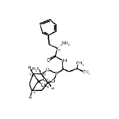 CC(C)CC(NC(=O)[C@@H](N)Cc1ccccc1)B1O[C@@H]2C[C@@H]3C[C@@H](C3(C)C)[C@]2(C)O1